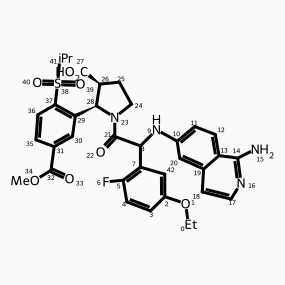 CCOc1ccc(F)c(C(Nc2ccc3c(N)nccc3c2)C(=O)N2CC[C@H](C(=O)O)[C@@H]2c2cc(C(=O)OC)ccc2S(=O)(=O)C(C)C)c1